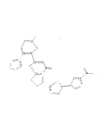 Cl.O=C(O)c1cc(-c2cnc([C@@H]3CCc4cc(-c5cc(Cl)ccc5-n5cnnn5)cc(=O)n43)[nH]2)co1